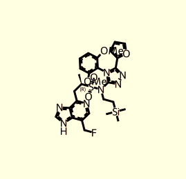 COc1cccc(OC)c1-n1c(-c2ccco2)nnc1N(CC[Si](C)(C)C)S(=O)(=O)[C@H](C)Cc1ncc(CF)c2[nH]cnc12